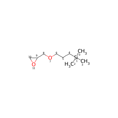 C[Si](C)(C)CCCOCC1CO1